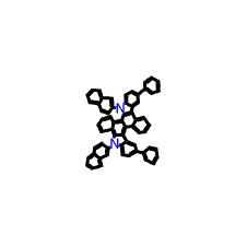 c1ccc(-c2ccc3c(c2)c2c4c5ccccc5c5c6cc(-c7ccccc7)ccc6n(-c6ccc7ccccc7c6)c5c4c4ccccc4c2n3-c2ccc3ccccc3c2)cc1